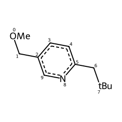 COCc1ccc(CC(C)(C)C)nc1